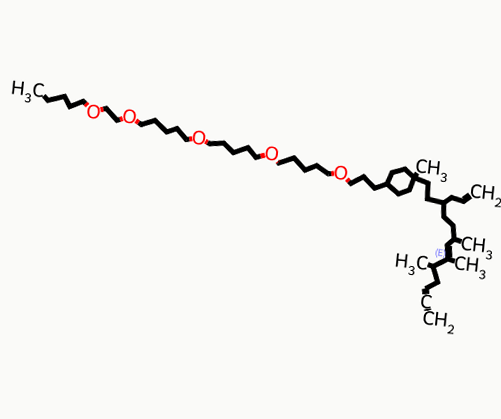 C=C=CCC(C)/C(C)=C/C(C)CCC(CC=C)CCC1(C)CCC(CCCOCCCCCOCCCCCOCCCCCOCCOCCCCC)CC1